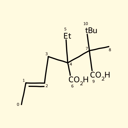 CC=CCC(CC)(C(=O)O)C(C)(C(=O)O)C(C)(C)C